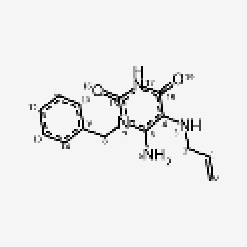 C=CCNc1c(N)n(Cc2ccccc2)c(=O)[nH]c1=O